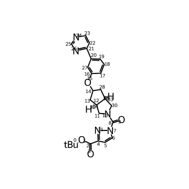 CC(C)(C)OC(=O)c1ccn(C(=O)N2C[C@H]3CC(Oc4cccc(-c5ccncn5)c4)C[C@H]3C2)n1